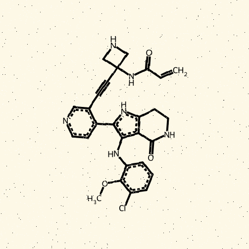 C=CC(=O)NC1(C#Cc2cnccc2-c2[nH]c3c(c2Nc2cccc(Cl)c2OC)C(=O)NCC3)CNC1